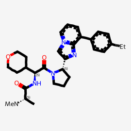 CCc1ccc(-c2cccn3cc([C@@H]4CCCN4C(=O)[C@@H](NC(=O)[C@H](C)NC)C4CCOCC4)nc23)cc1